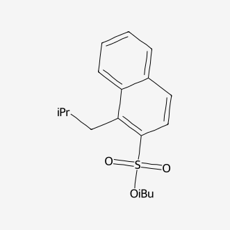 CC(C)COS(=O)(=O)c1ccc2ccccc2c1CC(C)C